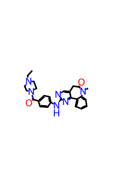 CCN1CCN(C(=O)c2ccc(Nc3ncc4c(n3)-c3ccccc3N(C)C(=O)C4)cc2)CC1